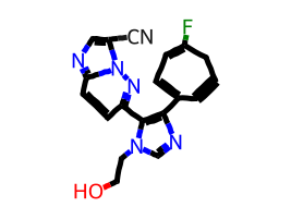 N#Cc1cnc2ccc(-c3c(C4=CC=C(F)CC#C4)ncn3CCO)nn12